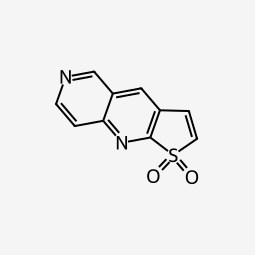 O=S1(=O)C=Cc2cc3cnccc3nc21